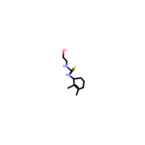 CC1=C(C)C(NC(=S)NCCO)CCC1